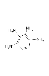 Nc1ccc(N)c(N)c1N